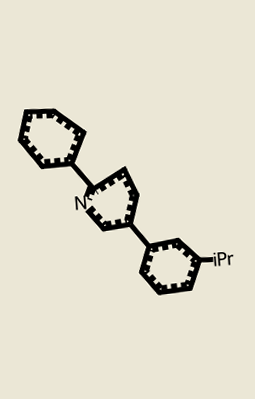 CC(C)c1cccc(-c2ccc(-c3ccccc3)nc2)c1